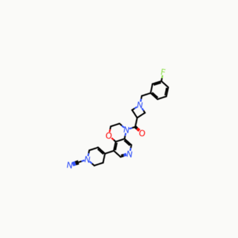 N#CN1CC=C(c2cncc3c2OCCN3C(=O)C2CN(Cc3cccc(F)c3)C2)CC1